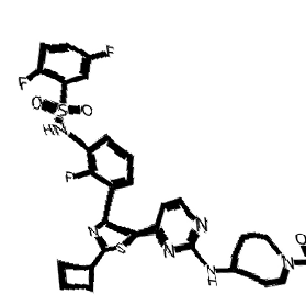 CS(=O)(=O)N1CCC(Nc2nccc(-c3sc(C4CCC4)nc3-c3cccc(NS(=O)(=O)c4cc(F)ccc4F)c3F)n2)CC1